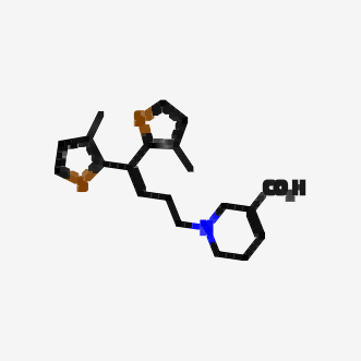 Cc1ccsc1C(=CCCN1CCC=C(C(=O)O)C1)c1sccc1C